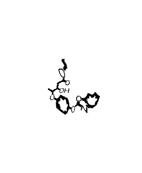 CCOC(=O)CC(O)C(C)Oc1ccc(Oc2nc3ccccc3o2)cc1